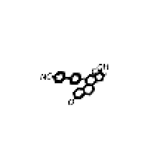 C[C@]12C[C@H](c3ccc(-c4ccc(C#N)cc4)cc3)C3C4CCC(=O)C=C4CCC3C1CC[C@@H]2O